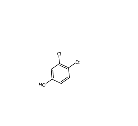 CCc1ccc(O)cc1Cl